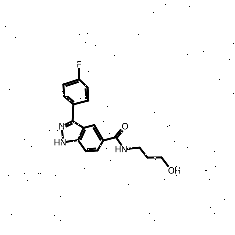 O=C(NCCCO)c1ccc2[nH]nc(-c3ccc(F)cc3)c2c1